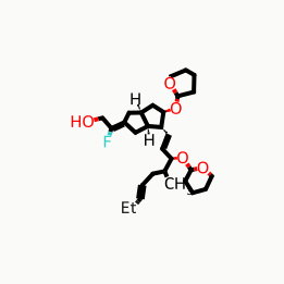 CCC#CCC(C)[C@@H](C=C[C@@H]1[C@H]2CC(=C(F)CO)C[C@H]2C[C@H]1OC1CCCCO1)OC1CCCCO1